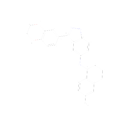 N#Cc1ccc2c(c1)CCCC2Nc1ccc2[nH]nc(-c3ccc4c(c3)OCCO4)c2c1